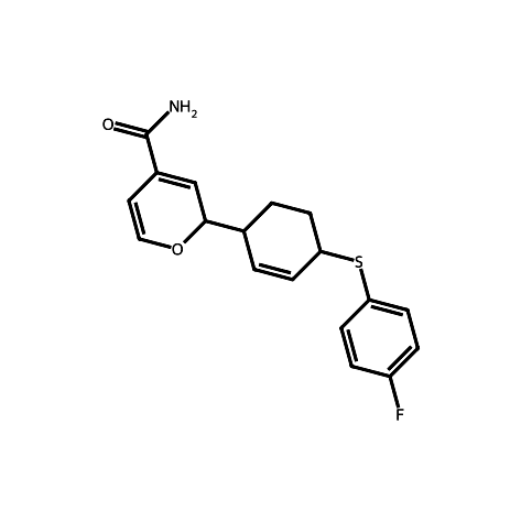 NC(=O)C1=CC(C2C=CC(Sc3ccc(F)cc3)CC2)OC=C1